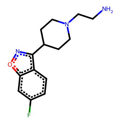 NCCN1CCC(c2noc3cc(F)ccc23)CC1